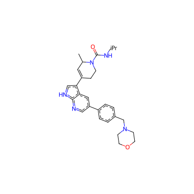 CC(C)NC(=O)N1CCC(c2c[nH]c3ncc(-c4ccc(CN5CCOCC5)cc4)cc23)=CC1C